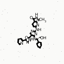 Cn1[nH]c(=O)c2ccc(Nc3ncc(-c4nnc(-c5ccccn5)o4)c(N[C@H](CO)c4ccccc4)n3)nc21